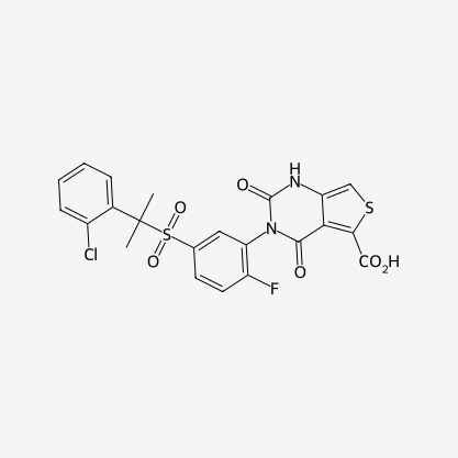 CC(C)(c1ccccc1Cl)S(=O)(=O)c1ccc(F)c(-n2c(=O)[nH]c3csc(C(=O)O)c3c2=O)c1